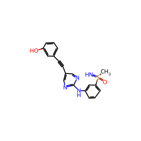 CS(=N)(=O)c1cccc(Nc2ncc(C#Cc3cccc(O)c3)cn2)c1